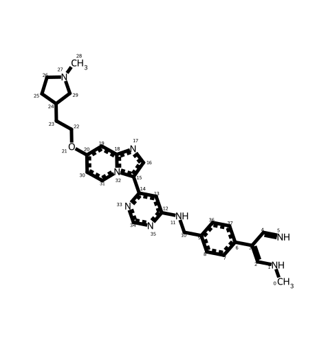 CN/C=C(\C=N)c1ccc(CNc2cc(-c3cnc4cc(OCCC5CCN(C)C5)ccn34)ncn2)cc1